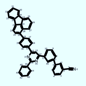 N#Cc1cccc(-c2cccc(-c3cc(-c4ccc(-c5ccc6c7c(cccc57)-c5ccccc5-6)cc4)nc(-c4ccccc4)n3)c2)c1